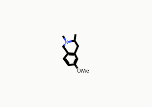 COc1ccc2c(c1)CC(C)N(C)C2